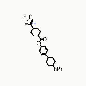 CCCC1CCC(c2ccc(OC(=O)C3CCC(/C(F)=C/C(F)(F)F)CC3)cc2)CC1